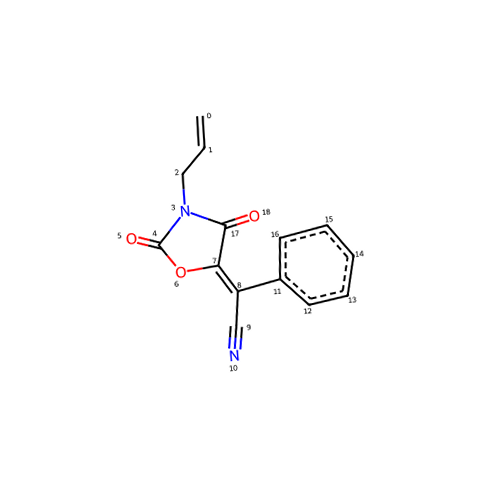 C=CCN1C(=O)O/C(=C(\C#N)c2ccccc2)C1=O